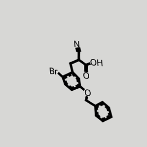 N#CC(Cc1cc(OCc2ccccc2)ccc1Br)C(=O)O